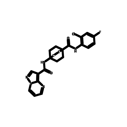 O=C(NC12CCC(C(=O)Nc3ccc(F)cc3Cl)(CC1)CC2)c1cnn2cccnc12